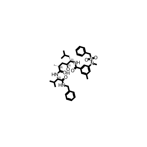 Cc1cc(C(=O)N[C@@H](CC(C)C)[C@@H](O)C[C@@H](C)C(=O)N[C@H](C(=O)NCc2ccccc2)C(C)C)cc(N(C)S(=O)(=O)Cc2ccccc2)c1